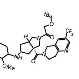 COC1COCCC1N[C@H]1C[C@@H]2CN(C(=O)COC(C)(C)C)C[C@@]2(C(=O)N2CCc3ncc(C(F)(F)F)cc3C2)C1